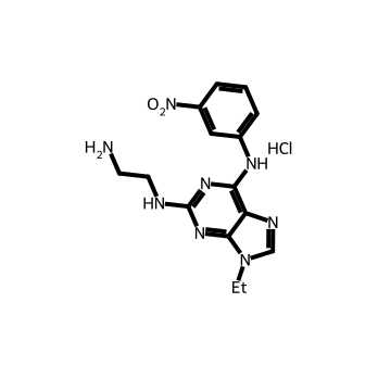 CCn1cnc2c(Nc3cccc([N+](=O)[O-])c3)nc(NCCN)nc21.Cl